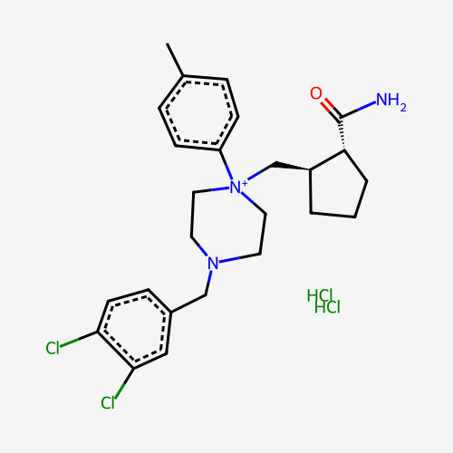 Cc1ccc([N+]2(C[C@@H]3CCC[C@H]3C(N)=O)CCN(Cc3ccc(Cl)c(Cl)c3)CC2)cc1.Cl.Cl